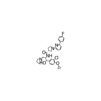 O=C(N[C@H](CN1CCCC1)[C@H](O)c1ccc(OC2CC2)c(Cl)c1)[C@@H]1CCN(c2cccc(-c3ccc(F)cc3)n2)C1